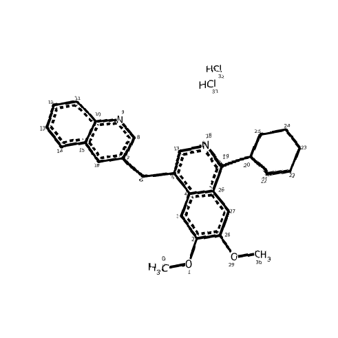 COc1cc2c(Cc3cnc4ccccc4c3)cnc(C3CCCCC3)c2cc1OC.Cl.Cl